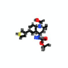 CC(=O)N1c2ccc(-c3ccsc3)cc2[C@H](NC(=O)OC(C)C)C[C@@H]1C